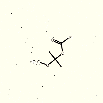 CC(C)C(=O)OC(C)(C)OC(=O)O